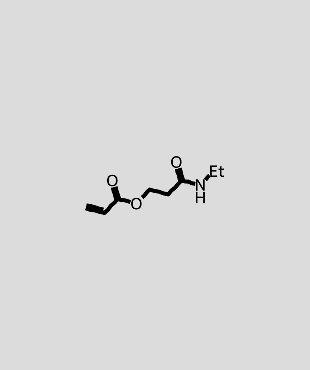 C=CC(=O)OCCC(=O)NCC